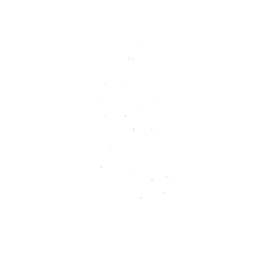 CNCc1cccc(-c2sc3c(c2C(=O)O)CC(C)(C)CC3)c1Cl